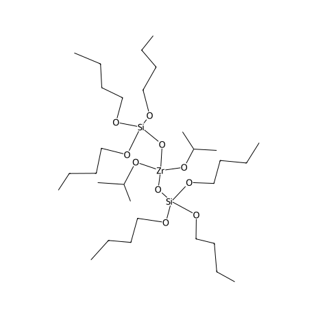 CCCCO[Si](OCCCC)(OCCCC)[O][Zr]([O]C(C)C)([O]C(C)C)[O][Si](OCCCC)(OCCCC)OCCCC